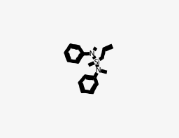 C=CC[Si](C)(N(C)c1ccccc1)N(C)c1ccccc1